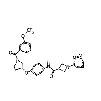 O=C(Nc1ccc(O[C@@H]2CCN(C(=O)c3cccc(OC(F)(F)F)c3)C2)cc1)C1CN(c2cccnn2)C1